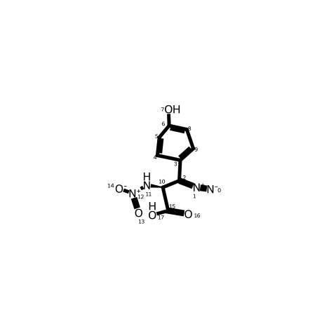 [N-]=[N+]=C(c1ccc(O)cc1)[C@H](N[N+](=O)[O-])C(=O)O